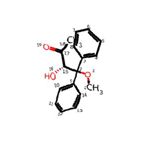 COC(c1ccccc1)(c1ccccc1)[C@H](O)C(C)=O